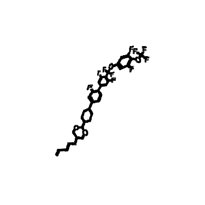 CCCCCC1COC(C2CCC(c3ccc(-c4cc(F)c(C(F)(F)Oc5cc(F)c(OC(F)(F)F)c(F)c5)c(F)c4)c(F)c3)CC2)OC1